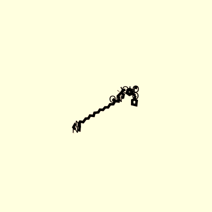 COc1ccc([C@@H]2CN(CC(=O)CCCCCCCCCCCCCCN3CCN(C)CC3)C[C@@]2(C)[C@@H](C)O)cc1OC1CCCC1